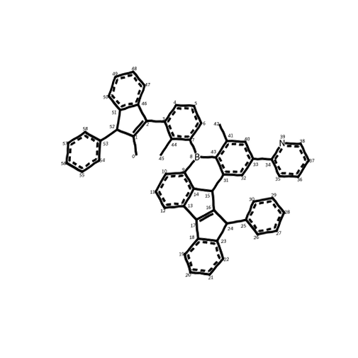 CC1=C(c2cccc(B3c4cccc5c4C(C4=C5c5ccccc5C4c4ccccc4)c4cc(-c5ccccn5)cc(C)c43)c2C)c2ccccc2C1c1ccccc1